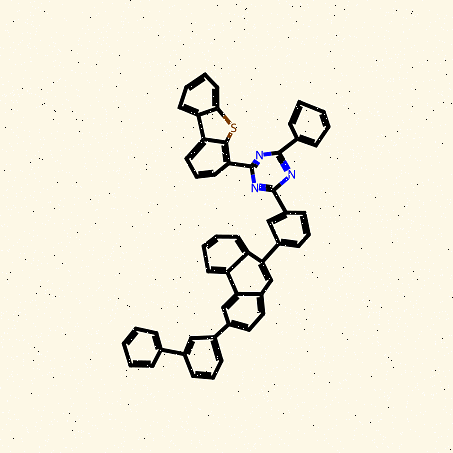 c1ccc(-c2cccc(-c3ccc4cc(-c5cccc(-c6nc(-c7ccccc7)nc(-c7cccc8c7sc7ccccc78)n6)c5)c5ccccc5c4c3)c2)cc1